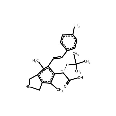 Cc1ccc(C=Cc2c(C)c3c(c(C)c2[C@H](OC(C)(C)C)C(=O)O)CNC3)cc1